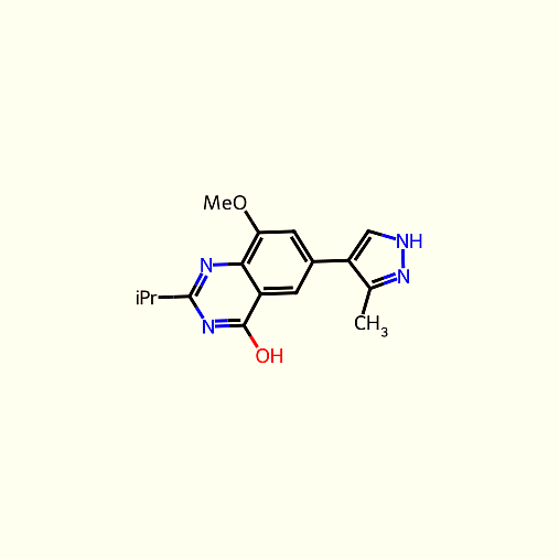 COc1cc(-c2c[nH]nc2C)cc2c(O)nc(C(C)C)nc12